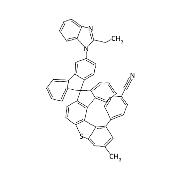 CCc1nc2ccccc2n1-c1ccc2c(c1)-c1ccccc1C21c2ccccc2-c2c1ccc1sc3cc(C)cc(-c4ccc(C#N)cc4)c3c21